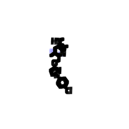 CNC(=O)/C=C(C)\C(COc1ccn(-c2ccc(Cl)cc2)n1)=N/OC